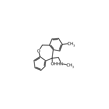 CNCC1(O)c2cc(C)ccc2COc2ccccc21